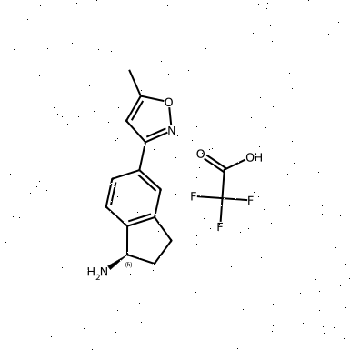 Cc1cc(-c2ccc3c(c2)CC[C@H]3N)no1.O=C(O)C(F)(F)F